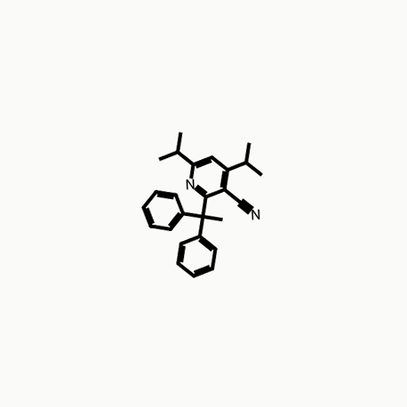 CC(C)c1cc(C(C)C)c(C#N)c(C(C)(c2ccccc2)c2ccccc2)n1